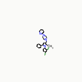 Cc1c(CN2CCN(c3ccccn3)CC2)cc(-c2ccccc2)n1-c1ccc(F)cc1F